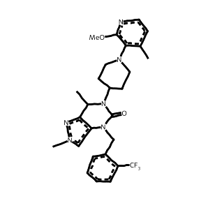 COc1nccc(C)c1N1CCC(N2C(=O)N(Cc3ccccc3C(F)(F)F)c3cn(C)nc3C2C)CC1